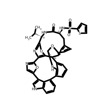 CC(C)[C@@H]1NC(=O)[C@@H](NS(=O)(=O)c2cccs2)Cc2ccc3c(c2)[C@]24c5cccc(c5NC2O3)-c2cccc3[nH]cc(c23)-c2cnc(o2)-c2nc1oc24